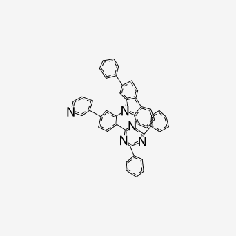 c1ccc(-c2ccc3c4ccccc4n(-c4cc(-c5cccnc5)ccc4-c4nc(-c5ccccc5)nc(-c5ccccc5)n4)c3c2)cc1